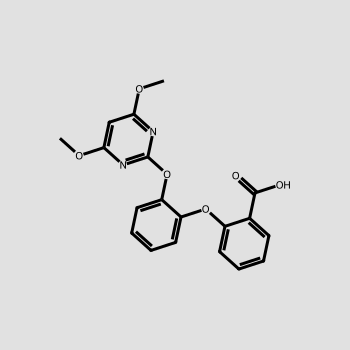 COc1cc(OC)nc(Oc2ccccc2Oc2ccccc2C(=O)O)n1